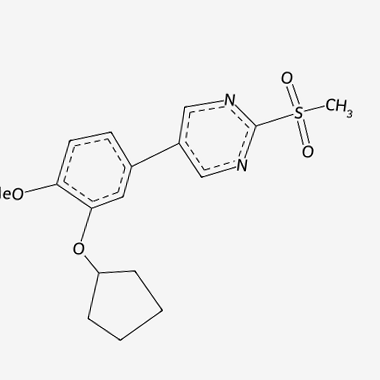 COc1ccc(-c2cnc(S(C)(=O)=O)nc2)cc1OC1CCCC1